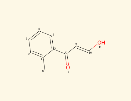 Cc1ccccc1C(=O)/C=C/O